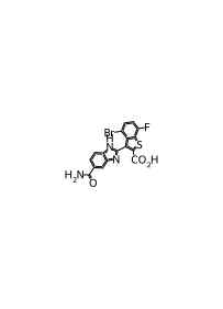 NC(=O)c1ccc2[nH]c(-c3c(C(=O)O)sc4c(F)ccc(Br)c34)nc2c1